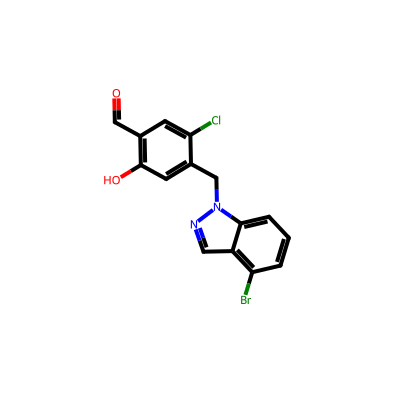 O=Cc1cc(Cl)c(Cn2ncc3c(Br)cccc32)cc1O